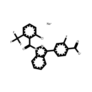 O=C([O-])c1ccc(-c2nn(C(=O)c3c(Cl)cccc3C(F)(F)F)c3ccccc23)cc1F.[Na+]